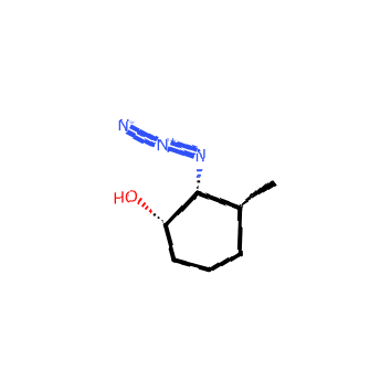 C[C@H]1CCC[C@H](O)[C@@H]1N=[N+]=[N-]